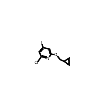 Clc1cc(I)cc(OCC2CC2)n1